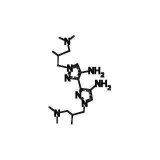 CC(CN(C)C)Cn1cc(N)c(-c2nn(CC(C)CN(C)C)cc2N)n1